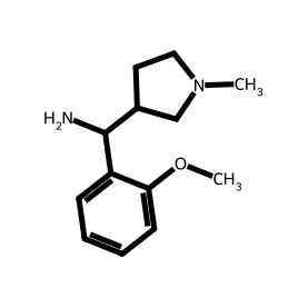 COc1ccccc1C(N)C1CCN(C)C1